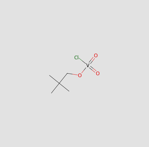 CC(C)(C)C[O][V](=[O])(=[O])[Cl]